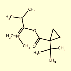 CN(C)C(OC(=O)C1(C(C)(C)C)CC1)=[N+](C)C